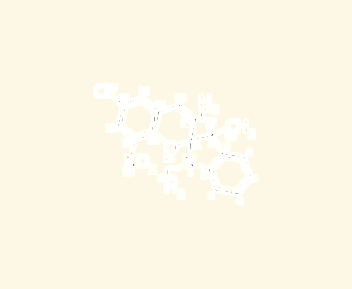 CN1c2ccccc2C(C)(C)C12C=Cc1cc(Cl)cc([N+](=O)[O-])c1O2